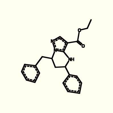 CCOC(=O)c1cnn2c1NC(c1ccccc1)CC2Cc1ccccc1